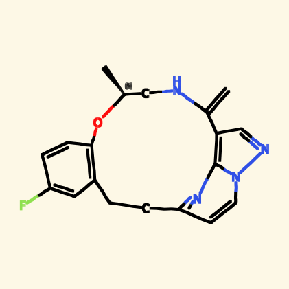 C=C1NC[C@H](C)Oc2ccc(F)cc2CCc2ccn3ncc1c3n2